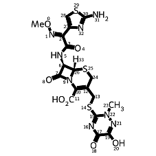 CON=C(C(=O)N[C@@H]1C(=O)N2C(C(=O)O)=C(CSc3nc(=O)c(O)nn3C)CS[C@@H]12)c1csc(N)n1